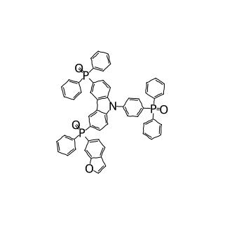 O=P(c1ccccc1)(c1ccccc1)c1ccc(-n2c3ccc(P(=O)(c4ccccc4)c4ccccc4)cc3c3cc(P(=O)(c4ccccc4)c4ccc5ccoc5c4)ccc32)cc1